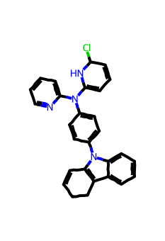 ClC1C=CC=C(N(c2ccc(-n3c4c(c5ccccc53)CCC=C4)cc2)c2ccccn2)N1